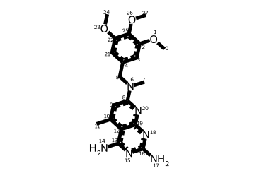 COc1cc(CN(C)c2cc(C)c3c(N)nc(N)nc3n2)cc(OC)c1OC